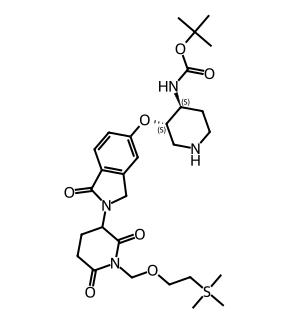 CC(C)(C)OC(=O)N[C@H]1CCNC[C@@H]1Oc1ccc2c(c1)CN(C1CCC(=O)N(COCCS(C)(C)C)C1=O)C2=O